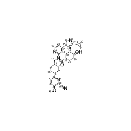 COc1ccc([C@H]2CC[C@H](CN(c3cc(-c4cnc(C5CC5)s4)ccn3)C(=O)[C@H]3CC[C@H](O)CC3)CC2)nc1C#N